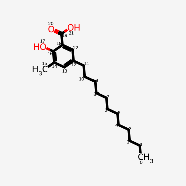 CCCCCCCCCCCCc1cc(C)c(O)c(C(=O)O)c1